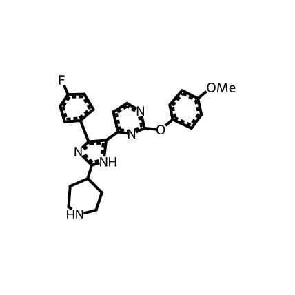 COc1ccc(Oc2nccc(-c3[nH]c(C4CCNCC4)nc3-c3ccc(F)cc3)n2)cc1